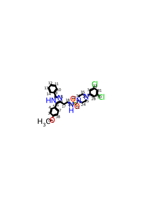 COc1ccc(-c2[nH]c(-c3ccccc3)nc2CCNS(=O)(=O)N2CCN(c3cc(Cl)cc(Cl)c3)CC2)cc1